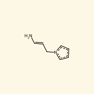 NC=CCn1cccc1